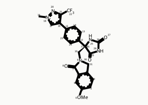 COc1ccc2c(c1)C(=O)N(C[C@@]1(c3ccc(-c4cn(C)nc4C(F)(F)F)cc3)NC(=O)NC1=O)C2